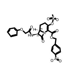 CS(=O)(=O)OC1=C(C(=O)OCc2ccc([N+](=O)[O-])cc2)N2C(=O)[C@@H](NC(=O)COc3ccccc3)[C@H]2CC1